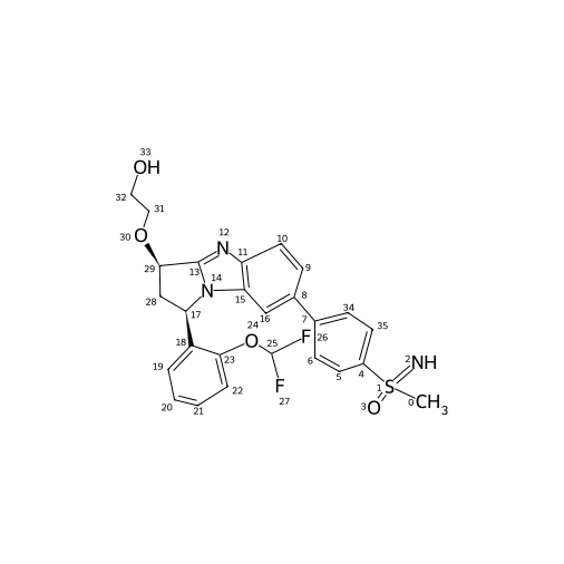 CS(=N)(=O)c1ccc(-c2ccc3nc4n(c3c2)[C@@H](c2ccccc2OC(F)F)C[C@H]4OCCO)cc1